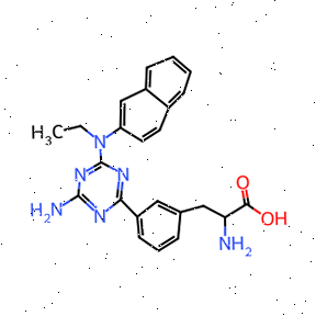 CCN(c1ccc2ccccc2c1)c1nc(N)nc(-c2cccc(CC(N)C(=O)O)c2)n1